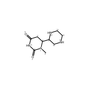 CN1C(=O)NC(=O)CC1C1CNCCN1